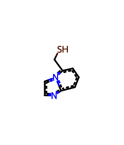 SCc1cccc2nccn12